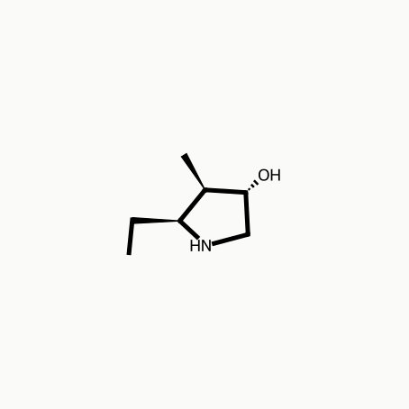 CC[C@@H]1NC[C@@H](O)[C@@H]1C